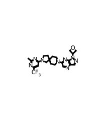 Cc1nc(N2CCC3(CCN(c4cnc5cnn(C6COC6)c5n4)CC3)C2)cc(C(F)(F)F)n1